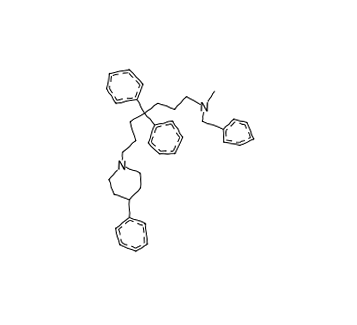 CN(CCCC(CCCN1CCC(c2ccccc2)CC1)(c1ccccc1)c1ccccc1)Cc1ccccc1